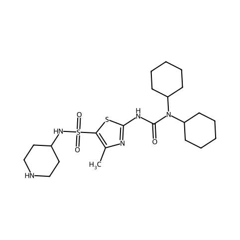 Cc1nc(NC(=O)N(C2CCCCC2)C2CCCCC2)sc1S(=O)(=O)NC1CCNCC1